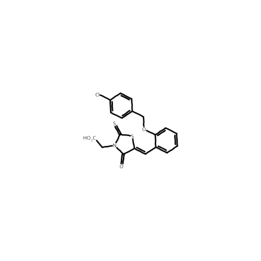 O=C(O)CN1C(=O)C(=Cc2ccccc2OCc2ccc(Cl)cc2)SC1=S